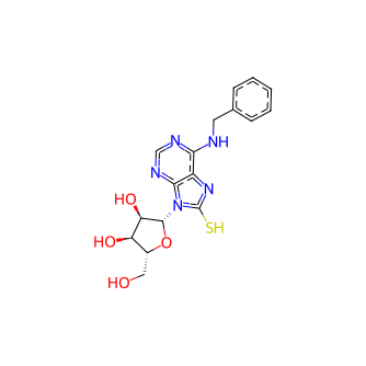 OC[C@H]1O[C@@H](n2c(S)nc3c(NCc4ccccc4)ncnc32)[C@H](O)[C@@H]1O